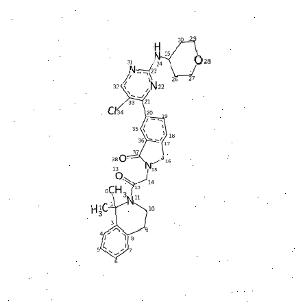 CC1(C)c2ccccc2CCN1C(=O)CN1Cc2ccc(-c3nc(NC4CCOCC4)ncc3Cl)cc2C1=O